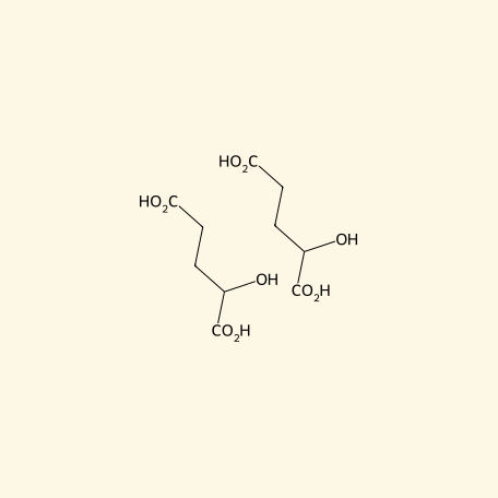 O=C(O)CCC(O)C(=O)O.O=C(O)CCC(O)C(=O)O